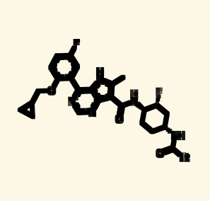 CCC(=O)N[C@@H]1CC[C@@H](NC(=O)c2c(C)[nH]c3c(-c4cc(F)ccc4OCC4CC4)ncnc23)[C@H](F)C1